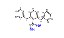 N=CC(=N)c1c(Cc2ccccc2)cccc1Cc1ccccc1